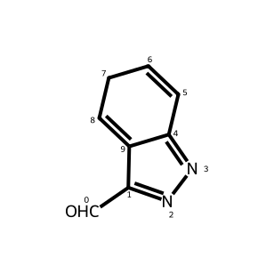 O=CC1=NN=C2C=CCC=C12